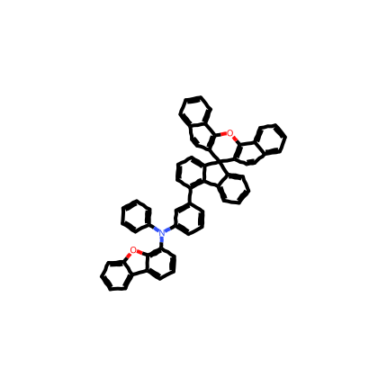 c1ccc(N(c2cccc(-c3cccc4c3-c3ccccc3C43c4ccc5ccccc5c4Oc4c3ccc3ccccc43)c2)c2cccc3c2oc2ccccc23)cc1